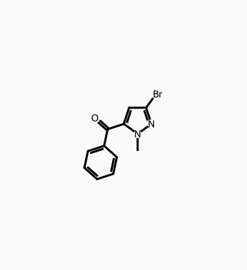 Cn1nc(Br)cc1C(=O)c1ccccc1